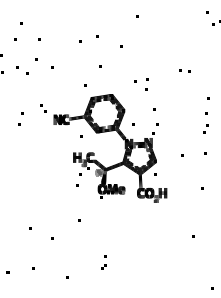 CO[C@@H](C)c1c(C(=O)O)cnn1-c1cccc(C#N)c1